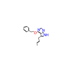 C/C=C/Cc1c[nH]c2ncnc(OCCc3ccccc3)c12